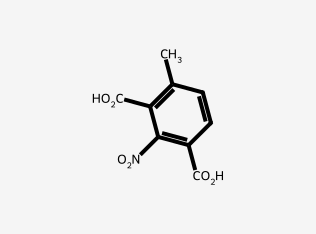 Cc1ccc(C(=O)O)c([N+](=O)[O-])c1C(=O)O